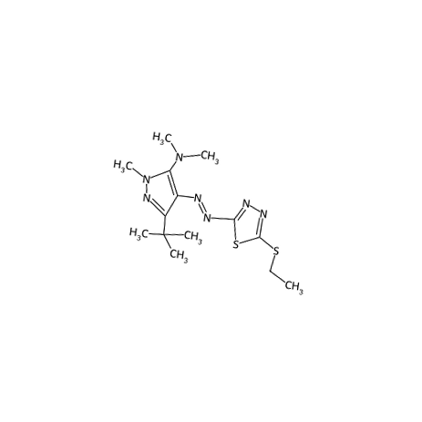 CCSc1nnc(N=Nc2c(C(C)(C)C)nn(C)c2N(C)C)s1